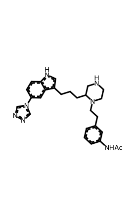 CC(=O)Nc1cccc(CCN2CCNCC2CCCc2c[nH]c3ccc(-n4cnnc4)cc23)c1